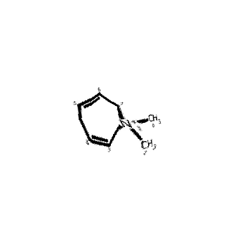 C[N+]1(C)C=C[C]=CC1